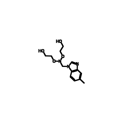 Cc1ccc2c(c1)ncn2CN(OCCO)OCCO